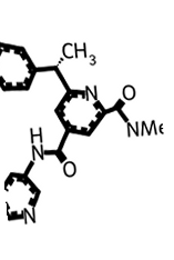 CNC(=O)c1cc(C(=O)Nc2cncnc2)cc([C@@H](C)c2ccccc2)n1